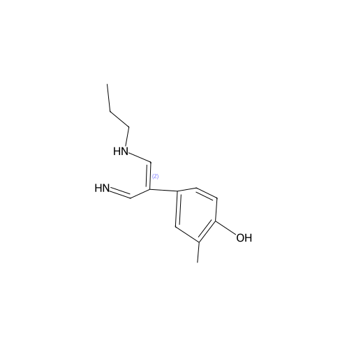 CCCN/C=C(\C=N)c1ccc(O)c(C)c1